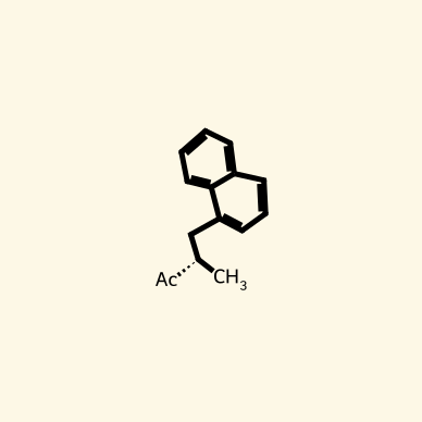 CC(=O)[C@@H](C)Cc1cccc2ccccc12